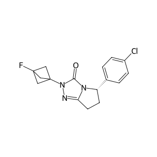 O=c1n(C23CC(F)(C2)C3)nc2n1[C@H](c1ccc(Cl)cc1)CC2